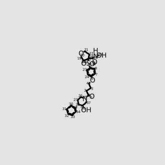 O=C(CCCOc1ccc(S(=O)(=O)C2(C(=O)NO)CCOCC2)cc1)N1CC[C@@H](c2ccccc2)[C@H](O)C1